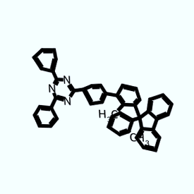 Cc1ccccc1C1(c2cccc(-c3ccc(-c4nc(-c5ccccc5)nc(-c5ccccc5)n4)cc3)c2C)c2ccccc2-c2ccccc21